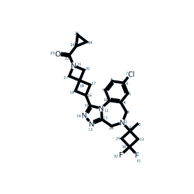 CC1(N2Cc3cc(Cl)ccc3-n3c(nnc3C3CC4(C3)CN(C(=O)C3CC3)C4)C2)CC(F)(F)C1